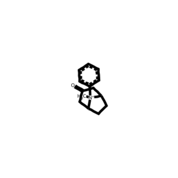 C[N+]1(c2ccccc2)C2CCC1CC(=O)C2